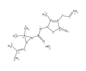 C=CCC1=C(C)C(OC(=O)C2C(C=C(C)C)C2(C)C)CC1=O.Cl